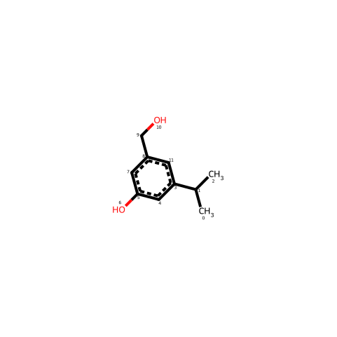 CC(C)c1cc(O)cc(CO)c1